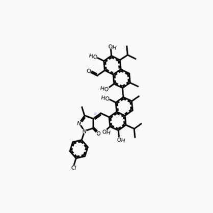 CC1=NN(c2ccc(Cl)cc2)C(=O)/C1=C\c1c(O)c(O)c(C(C)C)c2cc(C)c(-c3c(C)cc4c(C(C)C)c(O)c(O)c(C=O)c4c3O)c(O)c12